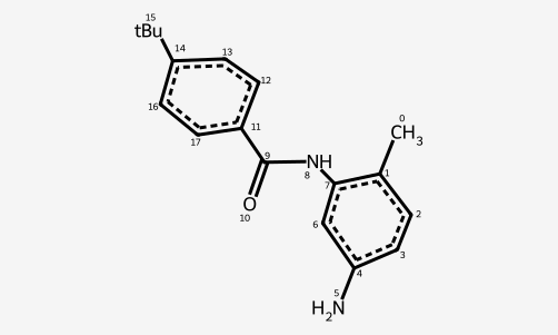 Cc1ccc(N)cc1NC(=O)c1ccc(C(C)(C)C)cc1